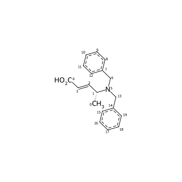 C[C@H](C=CC(=O)O)N(Cc1ccccc1)Cc1ccccc1